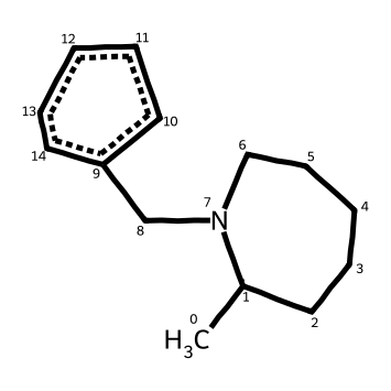 C[C]1CCCCCN1Cc1ccccc1